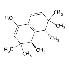 C[C@@H]1C2=C(C=CC1(C)C)C(O)=CC(C)(C)[C@@H]2C